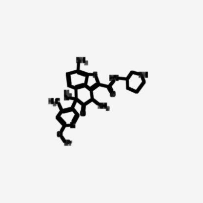 Cc1cc(OC(C)C)ncc1C1(N)C(=O)C(N)c2c(C(=O)NC3CCCNC3)sc3c(N)ccc1c23